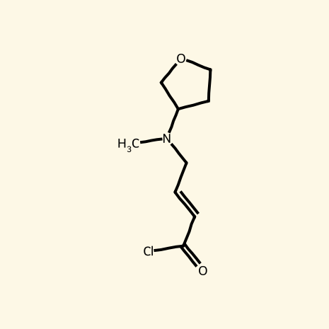 CN(CC=CC(=O)Cl)C1CCOC1